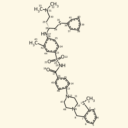 CSc1ccccc1CN1CCN(c2ccc(C(=O)NS(=O)(=O)c3ccc(N[C@H](CCN(C)C)CSc4ccccc4)c(C)c3)cc2)CC1